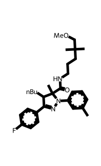 CCCCC1C(c2ccc(F)cc2)=NN(c2cccc(C)c2)C1(C)C(=O)NCCCC(C)(C)COC